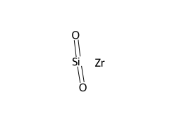 O=[Si]=O.[Zr]